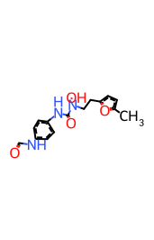 Cc1ccc(CCN(O)C(=O)Nc2ccc(NC=O)cc2)o1